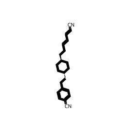 N#CC=CC=CCC[C@H]1CC[C@H](CCc2ccc(C#N)cc2)CC1